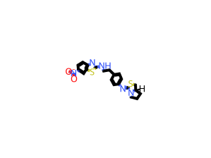 O=[N+]([O-])c1ccc2nc(NCCc3ccc(/N=C4\SC[C@@H]5CCCN45)cc3)sc2c1